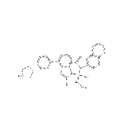 C1CC[SiH2]C1.CCC[CH2][Zr][C](CCC)(C1C(CC)=Cc2c(-c3ccccc3)cccc21)C1C(C)=Cc2c1ccc1ccccc21